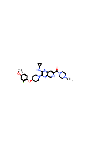 COc1ccc(OC2CCN(c3nc4cnc(C(=O)N5CCN(C)CC5)cc4nc3NC3CC3)CC2)c(F)c1